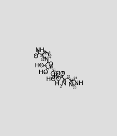 NC(=O)c1ccc[n+]([C@@H]2O[C@H](COP(=O)(O)OC(=O)[C@@H](N)Cc3c[nH]cn3)[C@@H](O)[C@H]2O)c1